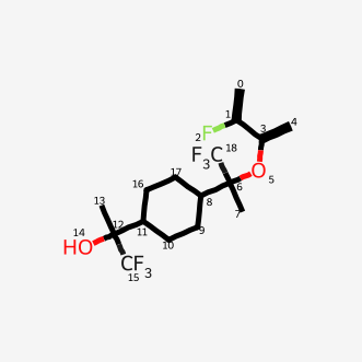 C=C(F)C(=C)OC(C)(C1CCC(C(C)(O)C(F)(F)F)CC1)C(F)(F)F